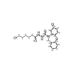 O=C(CCCCCCl)NNC(=O)N1Cc2ccccc2Oc2ccc(Cl)cc21